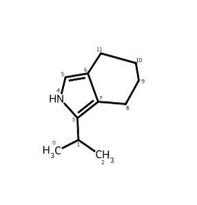 CC(C)c1[nH]cc2c1CCCC2